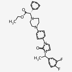 CCOC(=O)[C@H](c1ccccc1)N1CCN(c2ccc(-n3ccn(C(C)c4ccc(F)c(F)c4)c3=O)cc2)CC1